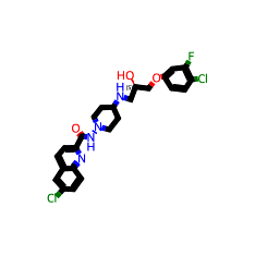 O=C(NN1CCC(NC[C@H](O)COc2ccc(Cl)c(F)c2)CC1)c1ccc2cc(Cl)ccc2n1